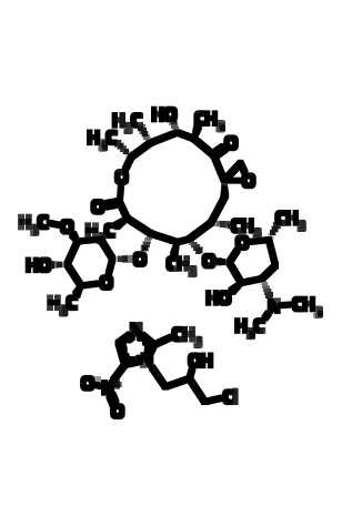 CO[C@H]1C[C@H](O[C@H]2[C@H](C)[C@@H](O[C@@H]3O[C@H](C)C[C@H](N(C)C)[C@H]3O)[C@@H](C)C[C@]3(CO3)C(=O)[C@H](C)[C@@H](O)[C@@H](C)[C@@H](C)OC(=O)[C@@H]2C)O[C@@H](C)[C@@H]1O.Cc1ncc([N+](=O)[O-])n1CC(O)CCl